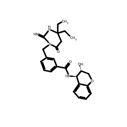 CCC1(CC)CC(=O)N(Cc2cccc(C(=O)N[C@@H]3c4ccccc4OC[C@H]3O)c2)C(=N)N1